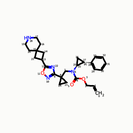 C=CCOC(=O)N(CC1(c2noc(C3CC4(CCNCC4)C3)n2)CC1)[C@H]1C[C@@H]1c1ccccc1